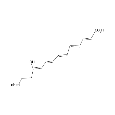 CCCCCCCCCCCC(O)=CC=CC=CC=CC=CC(=O)O